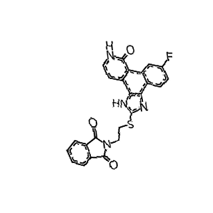 O=C1c2ccccc2C(=O)N1CCSc1nc2c3ccc(F)cc3c3c(=O)[nH]ccc3c2[nH]1